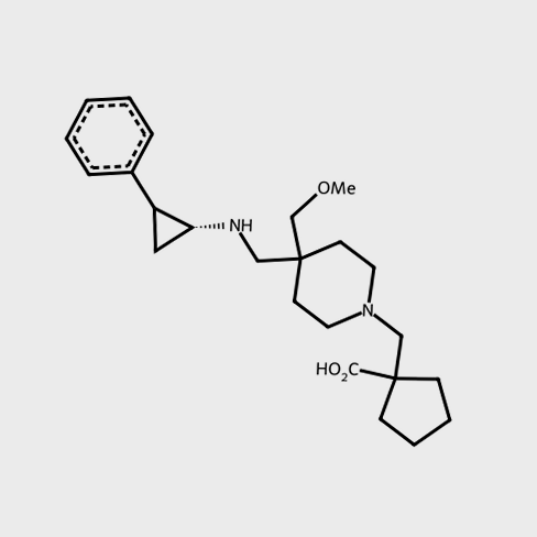 COCC1(CN[C@@H]2CC2c2ccccc2)CCN(CC2(C(=O)O)CCCC2)CC1